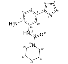 Nc1ccc(-c2cccs2)cc1NC(=O)N1CCCCC1